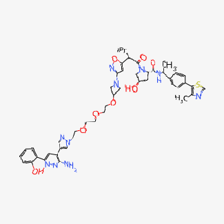 Cc1ncsc1-c1ccc([C@H](C)NC(=O)[C@@H]2C[C@@H](O)CN2C(=O)[C@@H](c2cc(N3CC(OCCOCCOCCn4cc(-c5cc(-c6ccccc6O)nnc5N)cn4)C3)no2)C(C)C)cc1